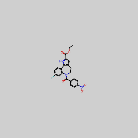 CCOC(=O)c1cc2c([nH]1)-c1ccc(F)cc1N(C(=O)c1ccc([N+](=O)[O-])cc1)CC2